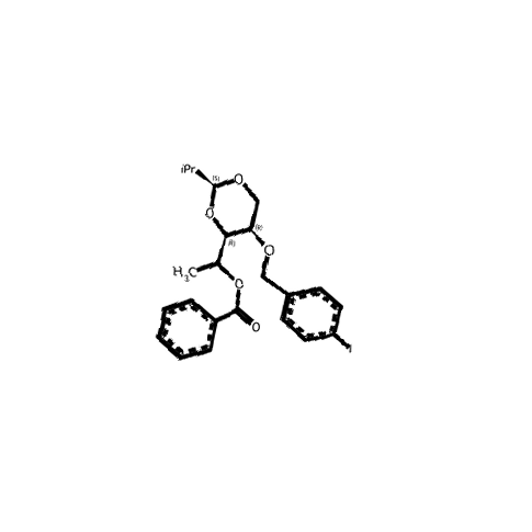 CC(C)[C@H]1OC[C@@H](OCc2ccc(I)cc2)[C@@H](C(C)OC(=O)c2ccccc2)O1